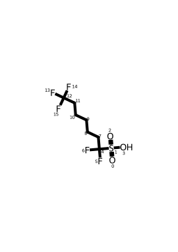 O=S(=O)(O)C(F)(F)CCCCCC(F)(F)F